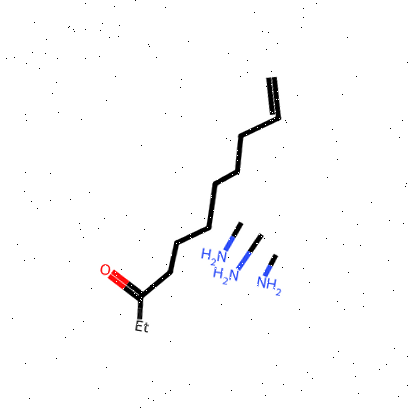 C=CCCCCCCC(=O)CC.CN.CN.CN